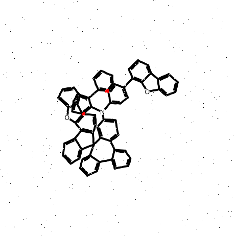 c1ccc(-c2ccccc2N(c2ccc(-c3cccc4c3oc3ccccc34)cc2)c2ccc3c(c2)C2(c4ccccc4-c4ccccc4-3)c3ccccc3-c3c2ccc2c3oc3ccccc32)cc1